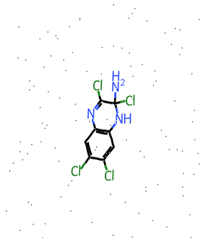 NC1(Cl)Nc2cc(Cl)c(Cl)cc2N=C1Cl